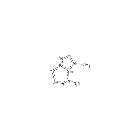 Cn1cnc2cccc(C#N)c21